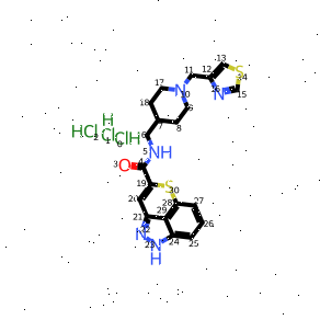 Cl.Cl.Cl.O=C(NCC1CCN(Cc2cscn2)CC1)C1=Cc2n[nH]c3cccc(c23)S1